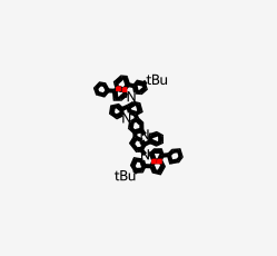 CC(C)(C)c1ccc(N(c2ccc(C3CCCCC3)cc2)c2ccc3c4cc5c(cc4n4c6ccccc6c2c34)c2ccc(N(c3ccc(C4CCCCC4)cc3)c3ccc(C(C)(C)C)cc3-c3ccccc3)c3c4ccccc4n5c23)c(-c2ccccc2)c1